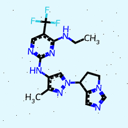 CCNc1nc(Nc2cn(C3CCn4cncc43)nc2C)ncc1C(F)(F)F